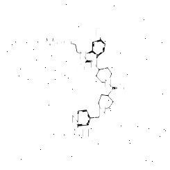 COCCn1c(=O)n(C2CCN(C(=O)C3CCN(Cc4ccnc(N)c4)CC3)CC2)c2ccc(F)cc21